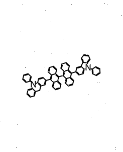 c1ccc(N2c3ccccc3Cc3cc(-c4c5ccccc5c(-c5c6ccccc6c(-c6ccc7c(c6)c6ccccc6n7-c6ccccc6)c6ccccc56)c5ccccc45)ccc32)cc1